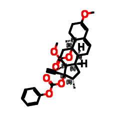 C#C[C@]1(OC(=O)Oc2ccccc2)[C@@H](C)C[C@H]2[C@@H]3CC=C4C=C(OC)CC[C@]4(C)[C@@]3(OC(=O)OC)CC[C@@]21C